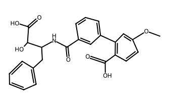 COc1ccc(C(=O)O)c(-c2cccc(C(=O)NC(Cc3ccccc3)C(O)C(=O)O)c2)c1